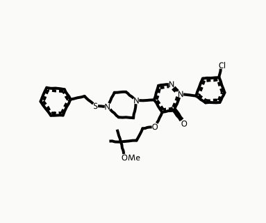 COC(C)(C)CCOc1c(N2CCN(SCc3ccccc3)CC2)cnn(-c2cccc(Cl)c2)c1=O